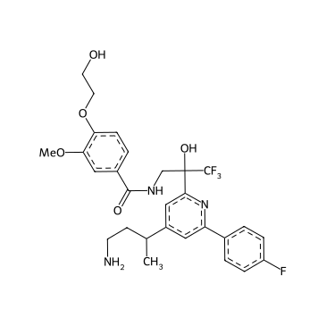 COc1cc(C(=O)NCC(O)(c2cc(C(C)CCN)cc(-c3ccc(F)cc3)n2)C(F)(F)F)ccc1OCCO